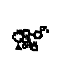 O=C(Nc1ccccn1)N1c2nc(-c3cccc(C(F)(F)F)c3)ccc2NCCC[C@@H]1C1CC1